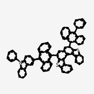 c1ccc(-c2c3ccccc3c(-c3cc4cc(-c5c6ccccc6c(-c6ccc7c(c6)c6ccccc6n7-c6ccccc6)c6ccccc56)c5sc6ccccc6c5c4c4c3sc3ccccc34)c3ccccc23)cc1